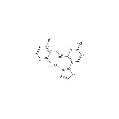 Cc1ccsc1-c1cnc(Cl)nc1NCc1c(F)cccc1F